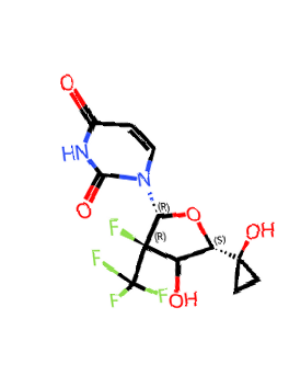 O=c1ccn([C@@H]2O[C@H](C3(O)CC3)C(O)[C@]2(F)C(F)(F)F)c(=O)[nH]1